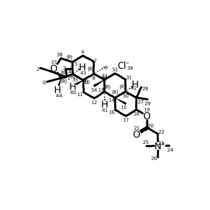 CC1(C)CC[C@]23CC[C@]4(C)[C@H](CC[C@@H]5[C@@]6(C)CCC(OC(=O)C[N+](C)(C)C)C(C)(C)[C@@H]6CC[C@]54C)[C@H]2[C@H]1OC3.[Cl-]